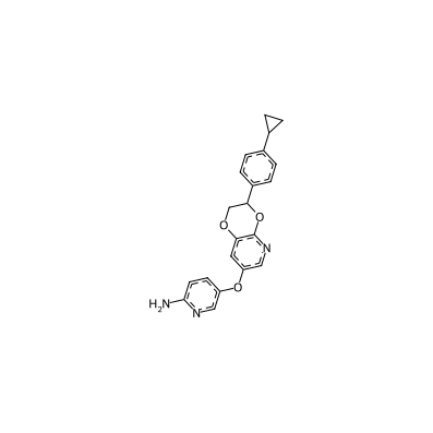 Nc1ccc(Oc2cnc3c(c2)OCC(c2ccc(C4CC4)cc2)O3)cn1